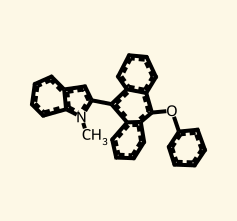 Cn1c(-c2c3ccccc3c(Oc3ccccc3)c3ccccc23)cc2ccccc21